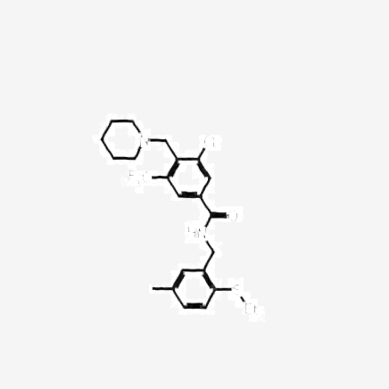 CCSc1ccc(C)cc1CNC(=O)c1cc(Cl)c(CN2CCCCC2)c(C(F)(F)F)c1